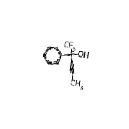 CC#CC(O)(c1ccccc1)C(F)(F)F